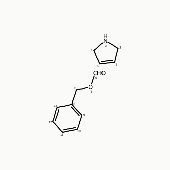 C1=CCNC1.O=COCc1ccccc1